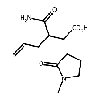 C=CCC(CC(=O)O)C(N)=O.CN1CCCC1=O